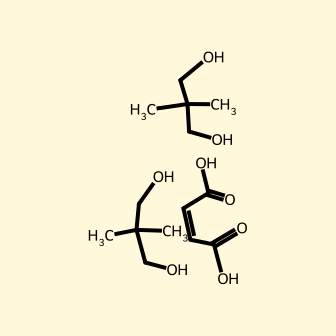 CC(C)(CO)CO.CC(C)(CO)CO.O=C(O)/C=C\C(=O)O